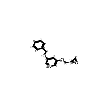 c1ccc(COc2cncc(OC[C@H]3CO3)c2)cc1